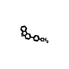 Cc1ccc(C2=CC3c4ccccc4SC3C=C2)cc1